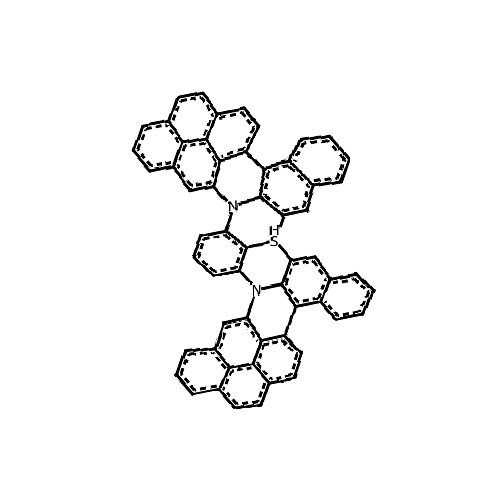 c1cc2c3c(c1)N1c4c(cc5ccccc5c4-c4ccc5ccc6cccc7cc1c4c5c67)[SH]3c1cc3ccccc3c3c1N2c1cc2cccc4ccc5ccc-3c1c5c42